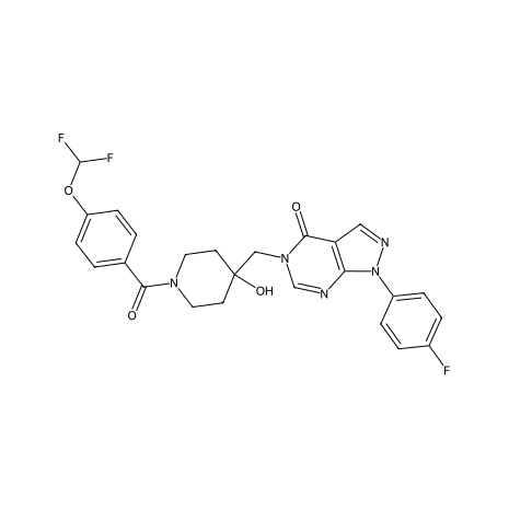 O=C(c1ccc(OC(F)F)cc1)N1CCC(O)(Cn2cnc3c(cnn3-c3ccc(F)cc3)c2=O)CC1